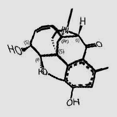 Cc1cc(O)c2c3c1C(=O)[C@@H]1[C@@H]4C=C[C@H](O)[C@H](O2)[C@]34CCN1C